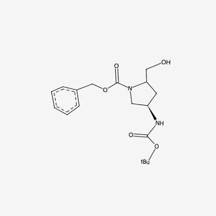 CC(C)(C)OC(=O)N[C@@H]1CC(CO)N(C(=O)OCc2ccccc2)C1